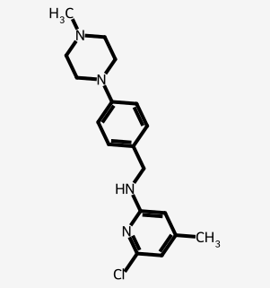 Cc1cc(Cl)nc(NCc2ccc(N3CCN(C)CC3)cc2)c1